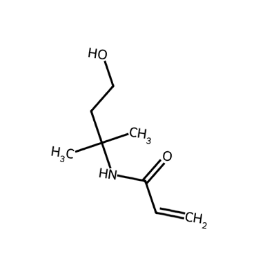 C=CC(=O)NC(C)(C)CCO